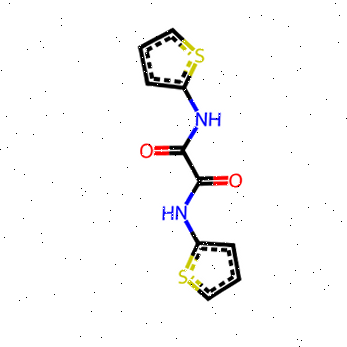 O=C(Nc1cccs1)C(=O)Nc1cccs1